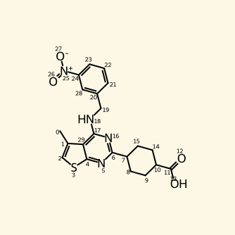 Cc1csc2nc(C3CCC(C(=O)O)CC3)nc(NCc3cccc([N+](=O)[O-])c3)c12